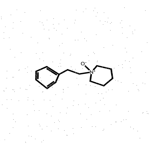 [O-][N+]1(CCc2ccccc2)CCCCC1